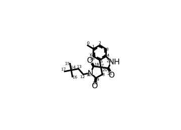 Cc1ccc2c(c1)C1(CC(=O)N(CCC(C)(C)C)C1=O)C(=O)N2